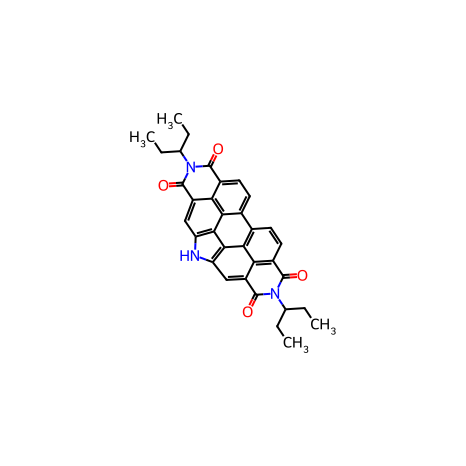 CCC(CC)n1c(=O)c2ccc3c4ccc5c(=O)n(C(CC)CC)c(=O)c6cc7[nH]c8cc(c1=O)c2c3c8c7c4c56